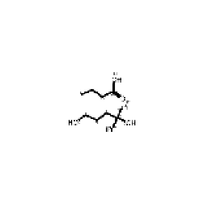 CC(C)C(O)(CCCO)C(C)C.CCCC(=O)O